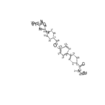 CCCCN(C)C(=O)C1CC=C(c2ccc(OCC3CCN(c4nc(C(C)C)no4)CC3)cc2)CC1